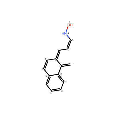 C=c1/c(=C\C=C/NO)ccc2ccccc12